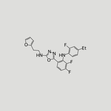 CCc1ccc(Nc2c(-c3nnc(NCCc4ccco4)o3)ccc(F)c2F)c(F)c1